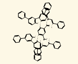 c1ccc(-c2ccc3c(c2)c2cc(-c4ccccc4)ccc2n3-c2cc(-n3c4ccc(-c5ccccc5)cc4c4cc(-c5ccccc5)ccc43)c(-c3nc(-c4ccccc4)cc(-c4ccccc4)n3)cc2-c2nc(-c3ccccc3)cc(-c3ccccc3)n2)cc1